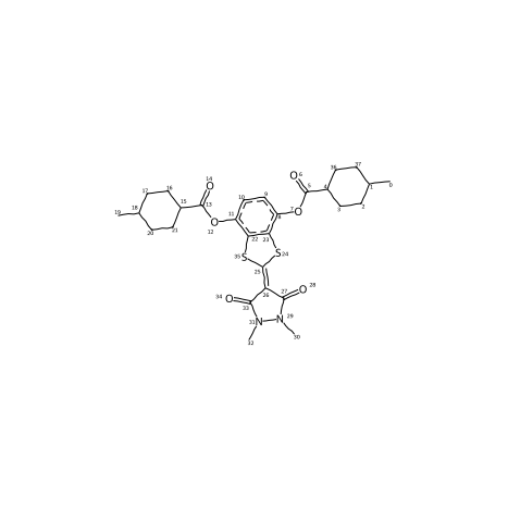 CC1CCC(C(=O)Oc2ccc(OC(=O)C3CCC(C)CC3)c3c2SC(=C2C(=O)N(C)N(C)C2=O)S3)CC1